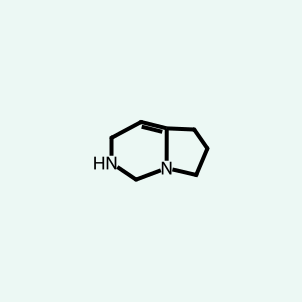 C1=C2CCCN2CNC1